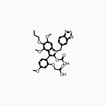 CCCOc1c(OC)cc2c(c1OC)c(-c1ccc(OC)cc1OCC(=O)O)c(OC(=O)O)n2Cc1ccc2nsnc2c1